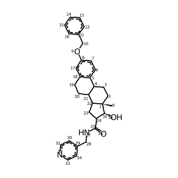 C[C@]12CCC3c4ccc(OCc5ccccc5)cc4CCC3C1CC(C(=O)NCc1ccncc1)[C@@H]2O